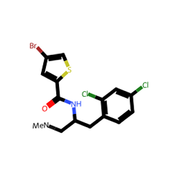 CNCC(Cc1ccc(Cl)cc1Cl)NC(=O)c1cc(Br)cs1